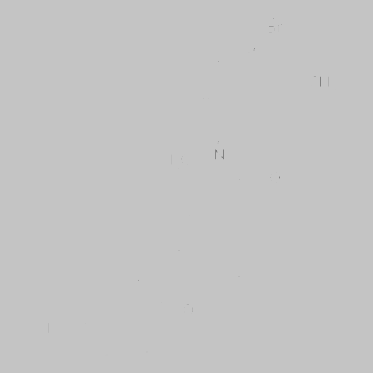 Cc1cc(N(C)C(=O)C2CCC(Oc3ccc(F)cc3)CC2)ccc1Br